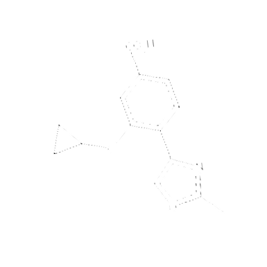 Cc1nc(-c2ccc(C(=O)O)cc2OC2CC2)co1